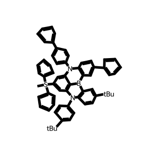 CC(C)(C)c1ccc(N2c3ccc(C(C)(C)C)cc3B3c4cc(-c5ccccc5)ccc4N(c4ccc(-c5ccccc5)cc4)c4cc(S(C)(c5ccccc5)c5ccccc5)cc2c43)cc1